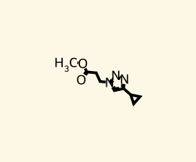 COC(=O)CCn1cc(C2CC2)nn1